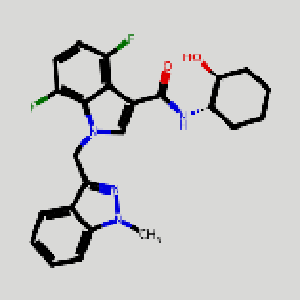 Cn1nc(Cn2cc(C(=O)N[C@H]3CCCC[C@@H]3O)c3c(F)ccc(F)c32)c2ccccc21